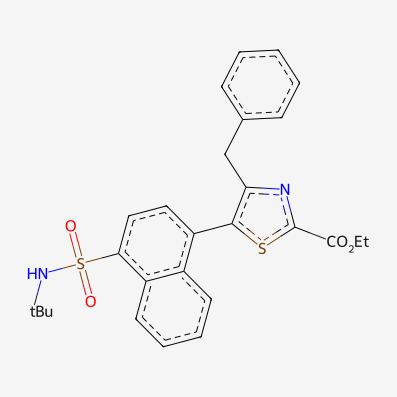 CCOC(=O)c1nc(Cc2ccccc2)c(-c2ccc(S(=O)(=O)NC(C)(C)C)c3ccccc23)s1